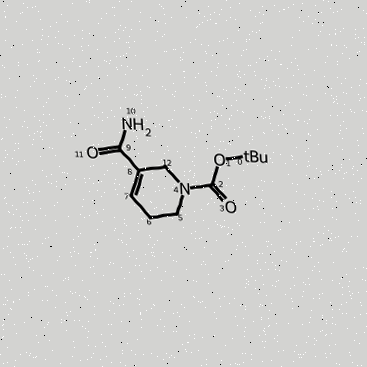 CC(C)(C)OC(=O)N1CCC=C(C(N)=O)C1